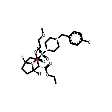 CCOC(=O)[C@@H]1[C@@H]2CC[C@H](CN1S(=O)(=O)N1CCN(Cc3ccc(Cl)cc3)CC1)N2C(=O)OCCOC